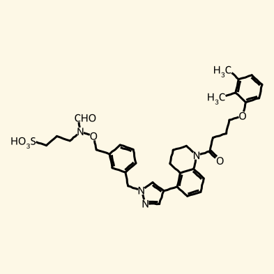 Cc1cccc(OCCCC(=O)N2CCCc3c(-c4cnn(Cc5cccc(CON(C=O)CCCS(=O)(=O)O)c5)c4)cccc32)c1C